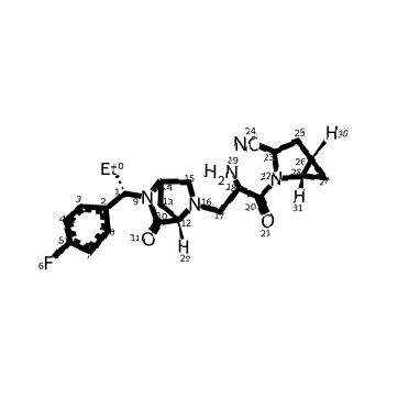 CC[C@@H](c1ccc(F)cc1)N1C(=O)[C@@H]2CC1CN2CC(N)C(=O)N1C(C#N)C[C@@H]2C[C@@H]21